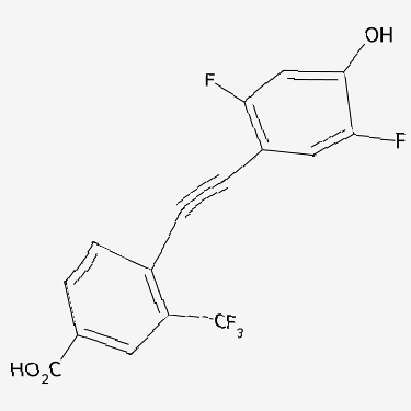 O=C(O)c1ccc(C#Cc2cc(F)c(O)cc2F)c(C(F)(F)F)c1